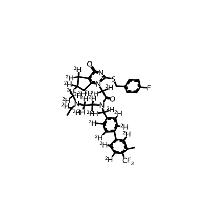 [2H]c1c([2H])c(C([2H])([2H])N(C(=O)C([2H])([2H])n2c(SCc3ccc(F)cc3)nc(=O)c3c2C([2H])([2H])C([2H])([2H])C3([2H])[2H])C([2H])([2H])C([2H])([2H])N(C([2H])([2H])C)C([2H])([2H])C)c([2H])c([2H])c1-c1c([2H])c([2H])c(C(F)(F)F)c(C)c1[2H]